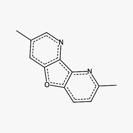 Cc1cnc2c(c1)oc1ccc(C)nc12